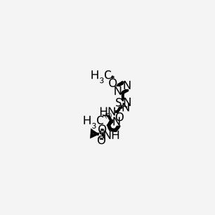 CCOc1cncc(-c2nnc(C(=O)N[C@H](CC)c3cc(NS(=O)(=O)C4CC4)ccn3)s2)n1